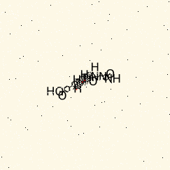 CC1(C)C(c2ccc(C(=O)O)cc2)=CC[C@]2(C)[C@H]3CC[C@@H]4[C@H]5CCC[C@]5(C(=O)NCCN5CCNC(=O)C5)CC[C@@]4(C)[C@]3(C)CC[C@@H]12